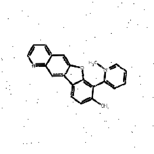 Cc1ccc2c(oc3cc4cccnc4cc32)c1-c1cccc[n+]1C